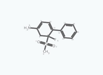 CS(=O)(=O)C1(F)CC(N)=CC=C1c1ccccc1